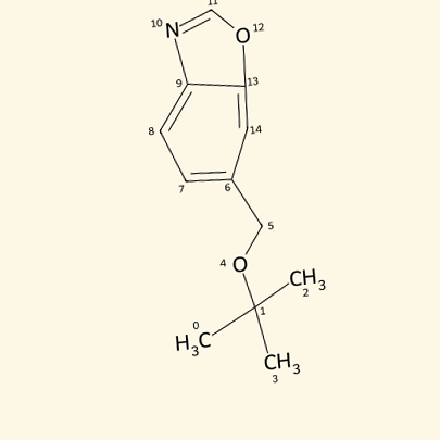 CC(C)(C)OCc1ccc2ncoc2c1